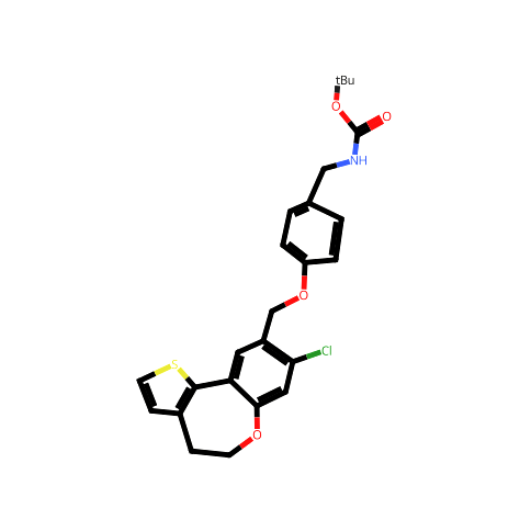 CC(C)(C)OC(=O)NCc1ccc(OCc2cc3c(cc2Cl)OCCc2ccsc2-3)cc1